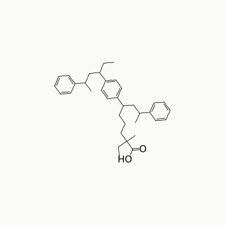 CCC(CC(C)c1ccccc1)c1ccc(C(CCCC(C)(CC)C(=O)O)CC(C)c2ccccc2)cc1